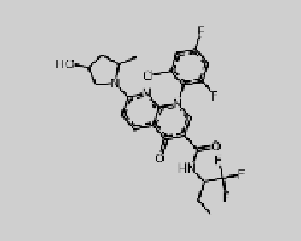 CCC(NC(=O)c1cn(-c2c(F)cc(F)cc2Cl)c2nc(N3CC(O)CC3C)ccc2c1=O)C(F)(F)F